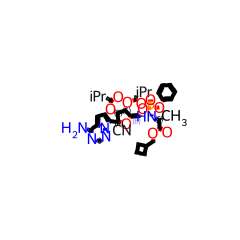 CC(C)C(=O)O[C@@H]1/C(=C\OP(=O)(N[C@@H](C)C(=O)OCC2CCC2)Oc2ccccc2)O[C@@](C#N)(c2ccc3c(N)ncnn23)[C@@H]1OC(=O)C(C)C